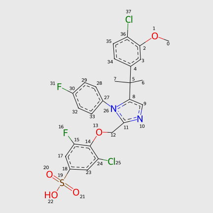 COc1cc(C(C)(C)c2cnc(COc3c(F)cc(S(=O)(=O)O)cc3Cl)n2-c2ccc(F)cc2)ccc1Cl